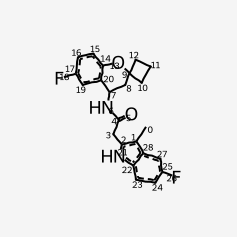 Cc1c(CC(=O)NC2CC3(CCC3)Oc3ccc(F)cc32)[nH]c2ccc(F)cc12